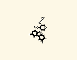 [N-]=[N+]=N[C@@H]1COC[C@H](n2c3ccc(F)cc3c3cc(F)ccc32)[C@H]1O